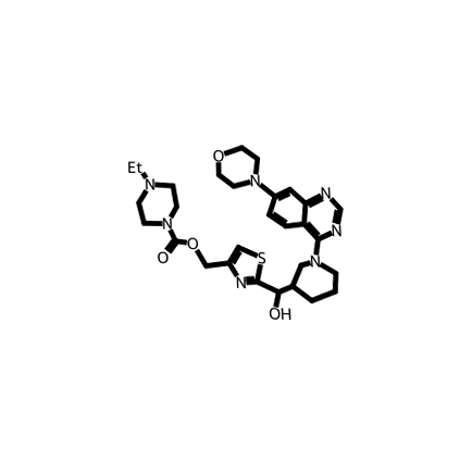 CCN1CCN(C(=O)OCc2csc(C(O)C3CCCN(c4ncnc5cc(N6CCOCC6)ccc45)C3)n2)CC1